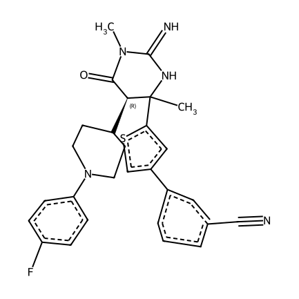 CN1C(=N)NC(C)(c2cc(-c3cccc(C#N)c3)cs2)[C@@H](C2CCN(c3ccc(F)cc3)CC2)C1=O